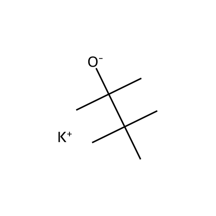 CC(C)(C)C(C)(C)[O-].[K+]